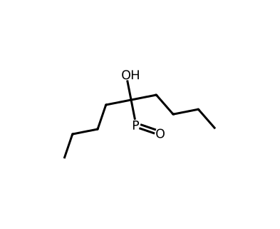 CCCCC(O)(CCCC)P=O